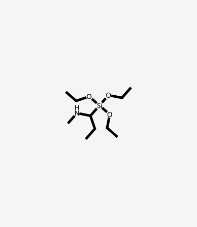 CCO[Si](OCC)(OCC)C(CC)NC